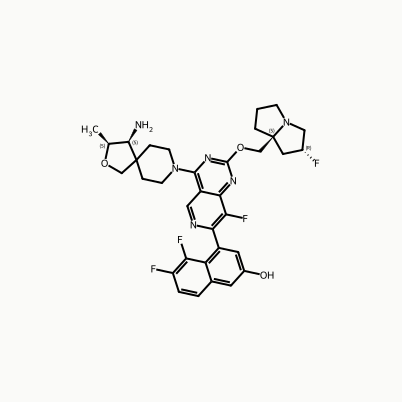 C[C@@H]1OCC2(CCN(c3nc(OC[C@@]45CCCN4C[C@H](F)C5)nc4c(F)c(-c5cc(O)cc6ccc(F)c(F)c56)ncc34)CC2)[C@@H]1N